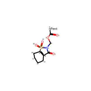 CCCCCC(=O)OCN1C(=O)C2=C(CCCC2)S1(=O)=O